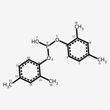 Cc1ccc(OP(O)Oc2ccc(C)cc2C)c(C)c1